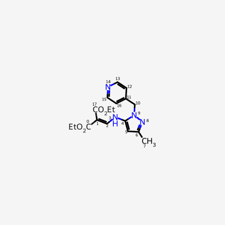 CCOC(=O)C(=CNc1cc(C)nn1Cc1ccncc1)C(=O)OCC